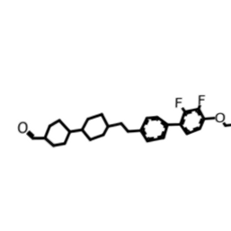 CCOc1ccc(-c2ccc(CCC3CCC(C4CCC(C=O)CC4)CC3)cc2)c(F)c1F